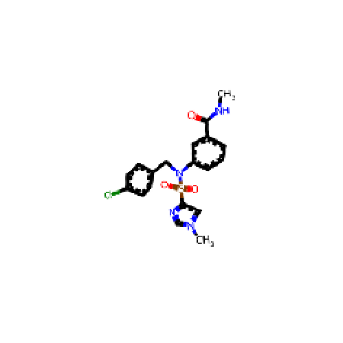 CNC(=O)c1cccc(N(Cc2ccc(Cl)cc2)S(=O)(=O)c2cn(C)cn2)c1